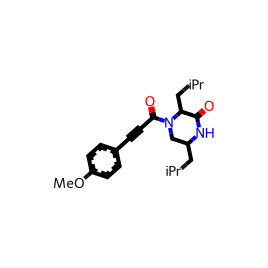 COc1ccc(C#CC(=O)N2CC(CC(C)C)NC(=O)C2CC(C)C)cc1